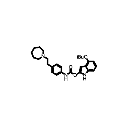 CC(C)COc1cccc2[nH]c(OC(=O)Nc3ccc(CCN4CCCCCC4)cc3)cc12